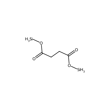 O=C(CCC(=O)O[SiH3])O[SiH3]